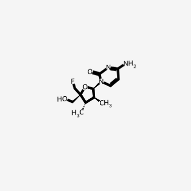 C[C@@H]1[C@H](n2ccc(N)nc2=O)O[C@@](CO)(CF)[C@H]1C